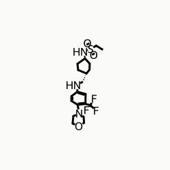 CCS(=O)(=O)N[C@H]1CC[C@H](CNc2ccc(N3CCOCC3)c(C(F)(F)F)c2)CC1